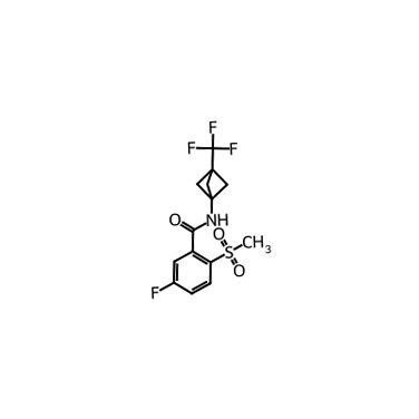 CS(=O)(=O)c1ccc(F)cc1C(=O)NC12CC(C(F)(F)F)(C1)C2